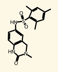 Cc1cc(C)c(S(=O)(=O)Nc2ccc3c(c2)CN(C)C(=O)N3)c(C)c1